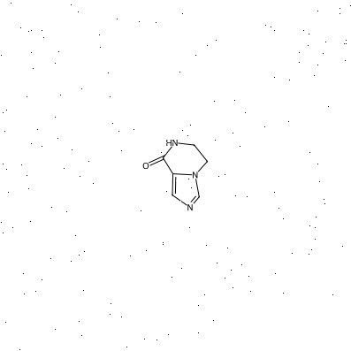 O=C1NCCn2cncc21